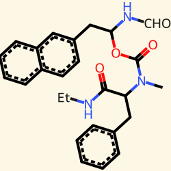 CCNC(=O)C(Cc1ccccc1)N(C)C(=O)OC(Cc1ccc2ccccc2c1)NC=O